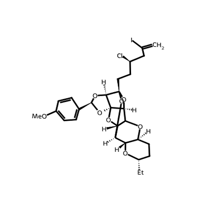 C=C(I)C[C@H](Cl)CC[C@]12O[C@H]3[C@H]4O[C@@H](CC)CC[C@@H]4OC4[C@H]3O[C@]3(O[C@@H](c5ccc(OC)cc5)O[C@@H]13)[C@H]4O2